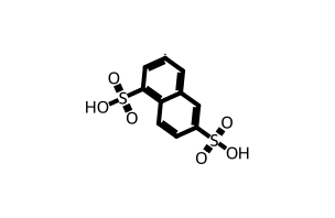 O=S(=O)(O)c1ccc2c(S(=O)(=O)O)c[c]cc2c1